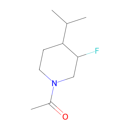 CC(=O)N1CCC(C(C)C)C(F)C1